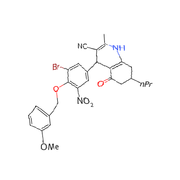 CCCC1CC(=O)C2=C(C1)NC(C)=C(C#N)C2c1cc(Br)c(OCc2cccc(OC)c2)c([N+](=O)[O-])c1